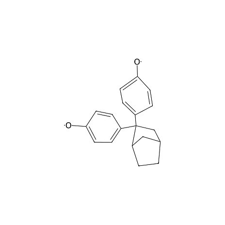 [O]c1ccc(C2(c3ccc([O])cc3)CC3CCC2C3)cc1